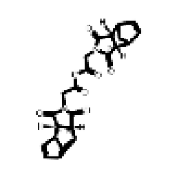 O=C(CN1C(=O)[C@@H]2C3C=CC(C3)[C@@H]2C1=O)OC(=O)CN1C(=O)[C@@H]2C3C4C=CC(C43)[C@@H]2C1=O